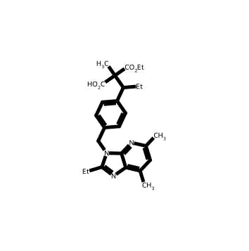 CCOC(=O)C(C)(C(=O)O)C(CC)c1ccc(Cn2c(CC)nc3c(C)cc(C)nc32)cc1